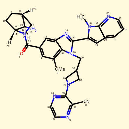 COc1cc(C(=O)N2C[C@H]3CC[C@@H]2[C@@H]3N)cc2nc(-c3cc4cccnc4n3C)n(CC3CN(c4nccnc4C#N)C3)c12